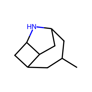 CC1CC2CC3C(C1)CC3N2